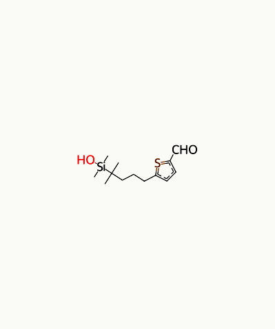 CC(C)(CCCc1ccc(C=O)s1)[Si](C)(C)O